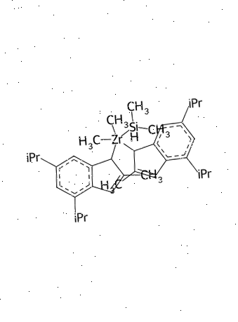 CC1=Cc2c(C(C)C)cc(C(C)C)cc2[CH]1[Zr]([CH3])([CH3])([CH]1C(C)=Cc2c(C(C)C)cc(C(C)C)cc21)[SiH](C)C